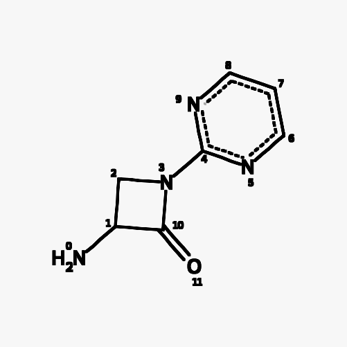 NC1CN(c2ncccn2)C1=O